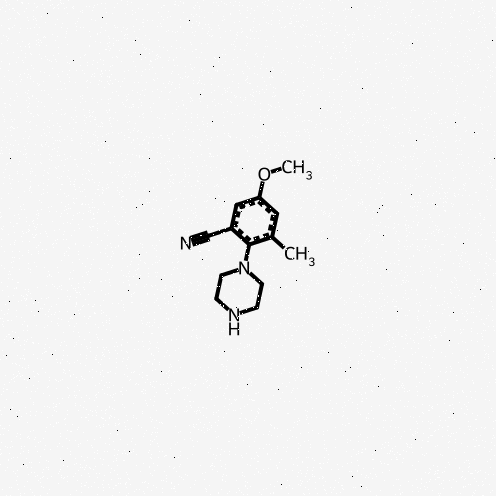 COc1cc(C)c(N2CCNCC2)c(C#N)c1